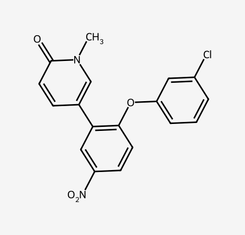 Cn1cc(-c2cc([N+](=O)[O-])ccc2Oc2cccc(Cl)c2)ccc1=O